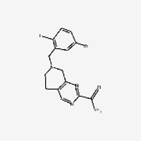 NC(=O)c1n[c]c2c(n1)CN(Cc1cc(Br)ccc1F)CC2